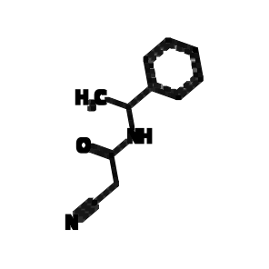 CC(NC(=O)CC#N)c1ccccc1